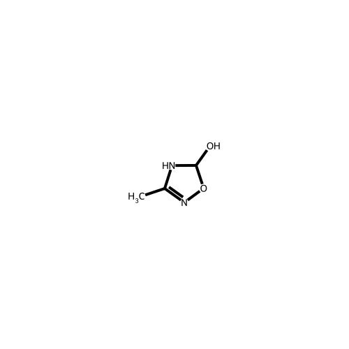 CC1=NOC(O)N1